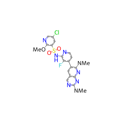 CNc1ncc2cc(-c3ccnc(NS(=O)(=O)c4cc(Cl)cnc4OC)c3F)c(NC)nc2n1